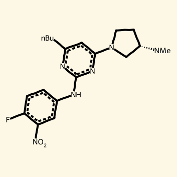 CCCCc1cc(N2CC[C@H](NC)C2)nc(Nc2ccc(F)c([N+](=O)[O-])c2)n1